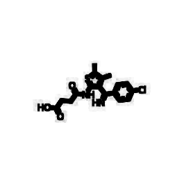 Cc1sc(NC(=O)CCC(=O)O)c(C(=N)c2ccc(Cl)cc2)c1C